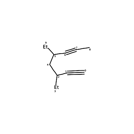 C#CC(CC)CC(C#CC)CC